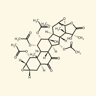 CC(=O)O[C@@H]1[C@H]2[C@@H]3C(=O)C(=O)[C@H]4C[C@@H]5O[C@@H]5[C@H](OC(C)=O)[C@]4(C)[C@H]3[C@H](OC(C)=O)[C@H](OC(C)=O)[C@]2(C)[C@H]2[C@H](C)[C@@H]3O[C@@]34OC(=O)[C@@](C)(O)[C@]4(C)[C@H]12